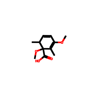 COC1=C(C)C(OC)(C(=O)O)C(C)C=C1